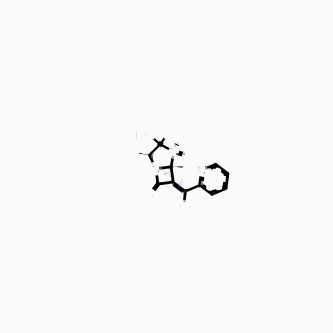 CC1(C)[C@H](C(=O)O)N2C(=O)/C(=C(\C(=O)O)c3ccccn3)[C@H]2S1(=O)=O